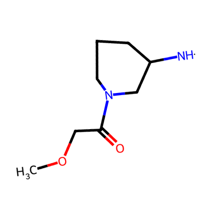 COCC(=O)N1CCCC([NH])C1